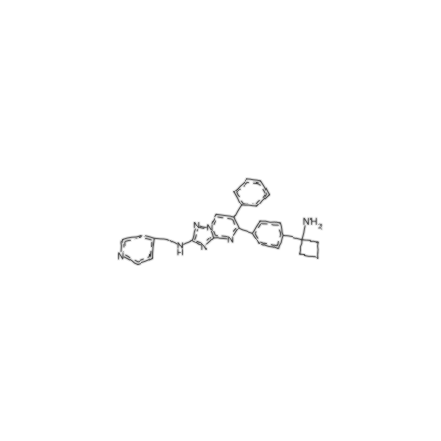 NC1(c2ccc(-c3nc4nc(NCc5ccncc5)nn4cc3-c3ccccc3)cc2)CCC1